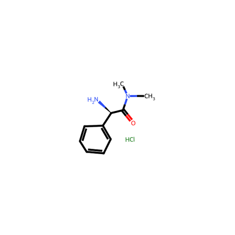 CN(C)C(=O)[C@H](N)c1ccccc1.Cl